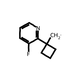 [CH2]C1(c2ncccc2F)CCC1